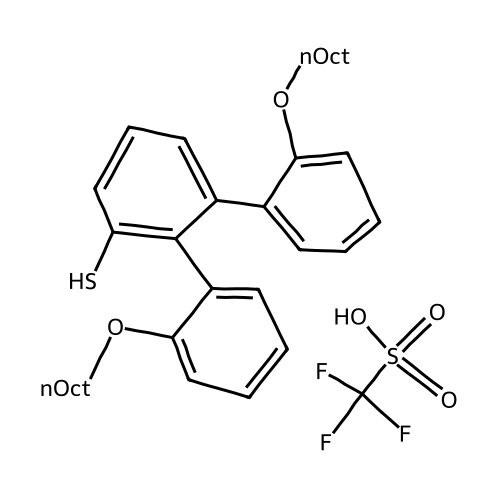 CCCCCCCCOc1ccccc1-c1cccc(S)c1-c1ccccc1OCCCCCCCC.O=S(=O)(O)C(F)(F)F